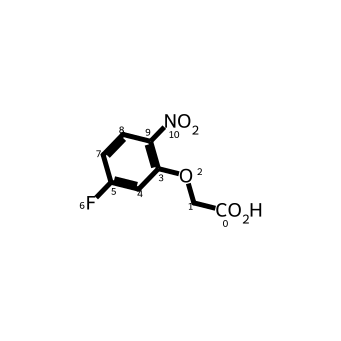 O=C(O)COc1cc(F)ccc1[N+](=O)[O-]